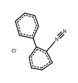 N#[N+]c1ccccc1-c1ccccc1.[Cl-]